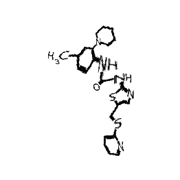 Cc1ccc(NC(=O)Nc2ncc(CSc3ccccn3)s2)c(N2CCCCC2)c1